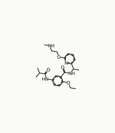 CCOc1ccc(NC(=O)C(C)C)cc1C(=O)NC(C)c1cccc(OCCNC)n1